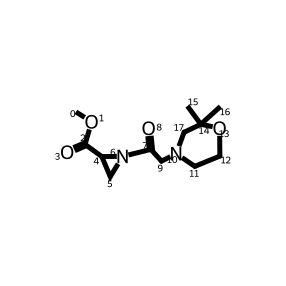 COC(=O)C1CN1C(=O)CN1CCOC(C)(C)C1